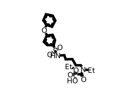 CCOP(=O)(O)C(=O)N(CC)CCCCCNS(=O)(=O)c1ccc(Oc2ccccc2)cc1